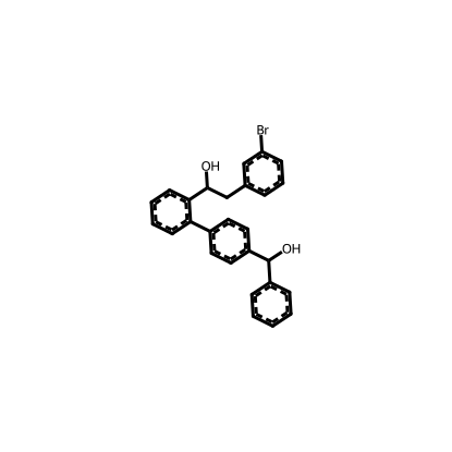 OC(Cc1cccc(Br)c1)c1ccccc1-c1ccc(C(O)c2ccccc2)cc1